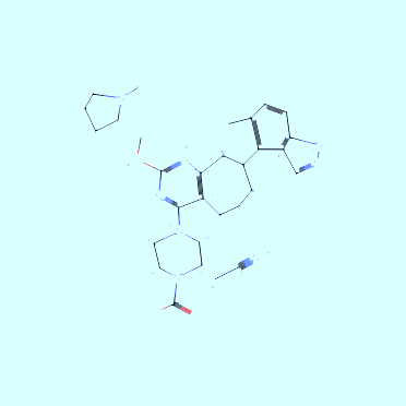 Cc1ccc2[nH]ncc2c1C1CCCc2c(nc(OC[C@@H]3CCCN3C)nc2N2CCN(C(=O)O)[C@@H](CC#N)C2)C1